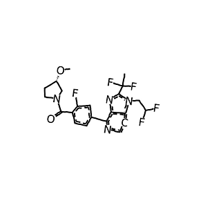 CO[C@H]1CCN(C(=O)c2ccc(-c3nccc4c3nc(C(C)(F)F)n4CC(F)F)cc2F)C1